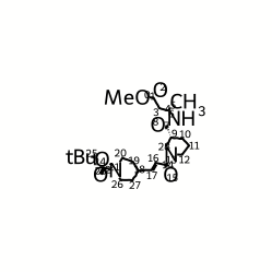 COC(=O)CC(C)NC(=O)[C@@H]1CCCN(C(=O)/C=C/C2CCN(C(=O)OC(C)(C)C)CC2)C1